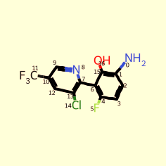 Nc1ccc(F)c(-c2ncc(C(F)(F)F)cc2Cl)c1O